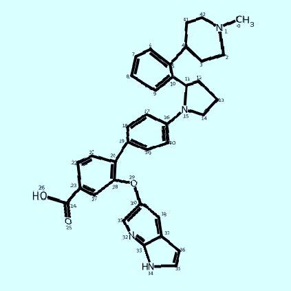 CN1CCC(c2ccccc2C2CCCN2c2ccc(-c3ccc(C(=O)O)cc3Oc3cnc4[nH]ccc4c3)cc2)CC1